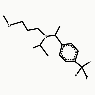 COCCCN(C(C)C)C(C)c1ccc(C(F)(F)F)cc1